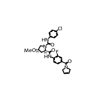 CO[C@@H]1C[C@H](C(=O)Nc2ccc(C(=O)N3CC=CC3)cc2F)N(C(=O)Nc2ccc(Cl)cc2)C1